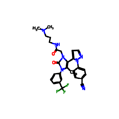 Cc1c(-c2ccnn2-c2ccc(C#N)cc2)n(CC(=O)NCCCN(C)C)c(=O)n1-c1cccc(C(F)(F)F)c1